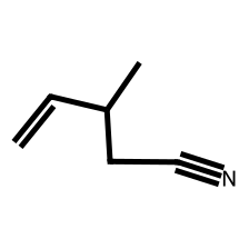 C=CC(C)CC#N